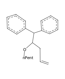 C=CCC(OCCCCC)C(c1ccccc1)c1ccccc1